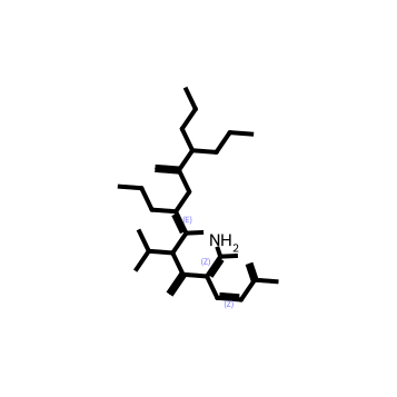 C=C(C)/C=C\C(C(=C)C(/C(C)=C(\CCC)CC(=C)C(CCC)CCC)C(C)C)=C(/C)N